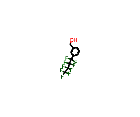 OCc1cccc(C(F)(F)C(F)(F)C(F)(F)C(F)(F)F)c1